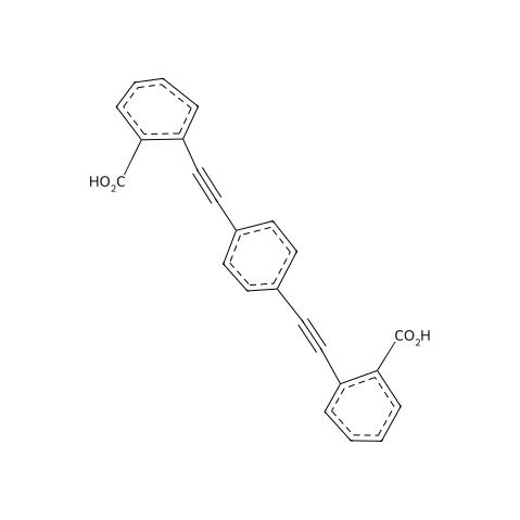 O=C(O)c1ccccc1C#Cc1ccc(C#Cc2ccccc2C(=O)O)cc1